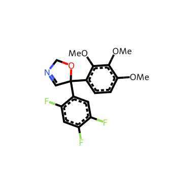 COc1ccc(C2(c3cc(F)c(F)cc3F)C=NCO2)c(OC)c1OC